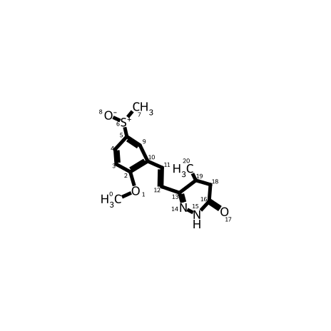 COc1ccc([S+](C)[O-])cc1C=CC1=NNC(=O)CC1C